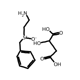 NCC[S+]([O-])Cc1ccccc1.O=C(O)CC(O)C(=O)O